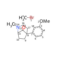 CBr.COc1cccc(C23CCC(C2=O)N(C)CC3)c1